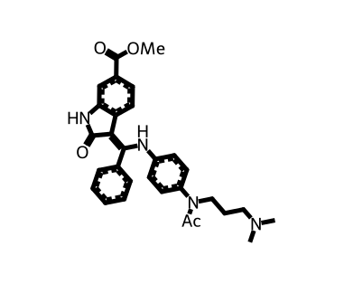 COC(=O)c1ccc2c(c1)NC(=O)C2=C(Nc1ccc(N(CCCN(C)C)C(C)=O)cc1)c1ccccc1